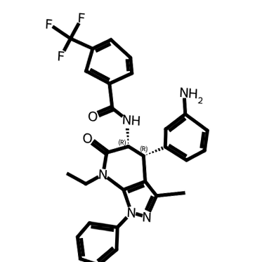 CCN1C(=O)[C@H](NC(=O)c2cccc(C(F)(F)F)c2)[C@H](c2cccc(N)c2)c2c(C)nn(-c3ccccc3)c21